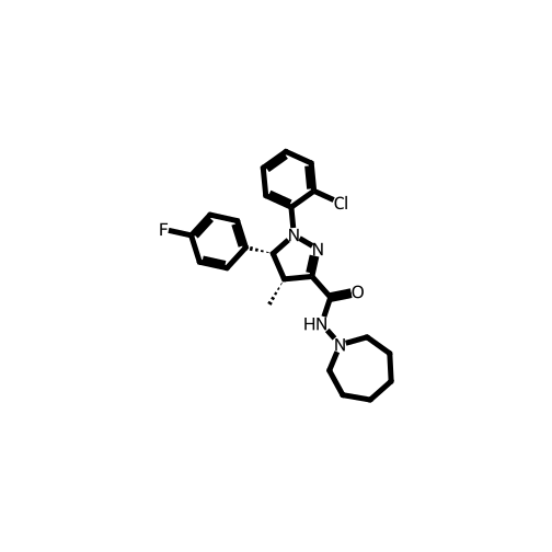 C[C@H]1C(C(=O)NN2CCCCCC2)=NN(c2ccccc2Cl)[C@H]1c1ccc(F)cc1